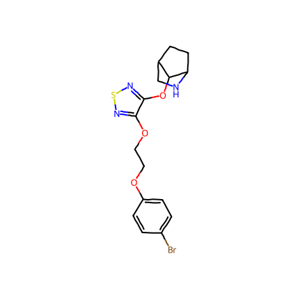 Brc1ccc(OCCOc2nsnc2OC2C3CCC2NC3)cc1